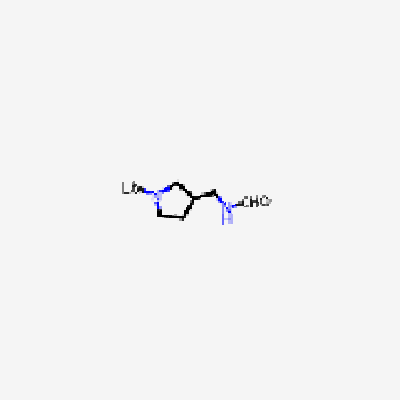 CCN1CCC(CN[C]=O)C1